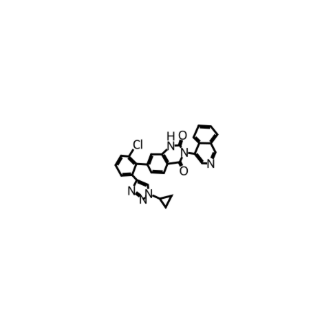 O=c1[nH]c2cc(-c3c(Cl)cccc3-c3cn(C4CC4)nn3)ccc2c(=O)n1-c1cncc2ccccc12